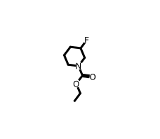 CCOC(=O)N1CCCC(F)C1